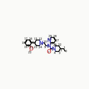 CCC1CCN(C(=O)N(CCN2CCC(c3ccccc3OC)CC2)c2ccccn2)CC1